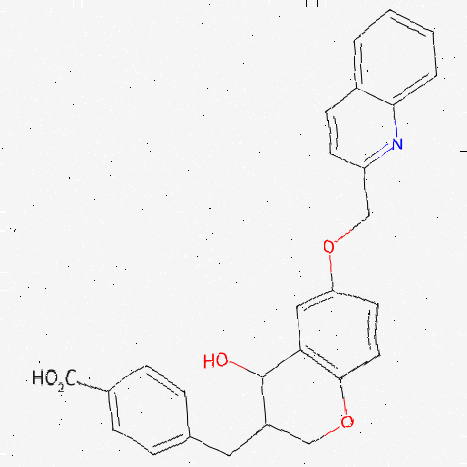 O=C(O)c1ccc(CC2COc3ccc(OCc4ccc5ccccc5n4)cc3C2O)cc1